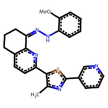 COc1ccccc1N/N=C1/CCCc2ccc(-c3sc(-c4cccnc4)nc3C)nc21